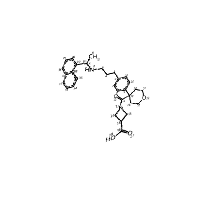 C[C@@H](NCCCc1ccc(C2(C(=O)N3CC(C(=O)O)C3)CCOCC2)cc1)c1cccc2ccccc12